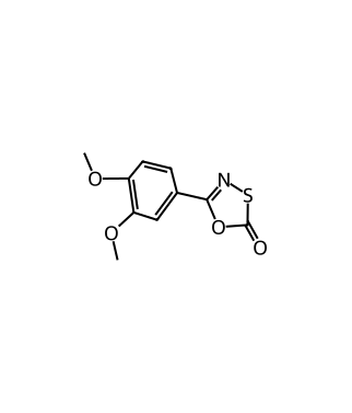 COc1ccc(-c2nsc(=O)o2)cc1OC